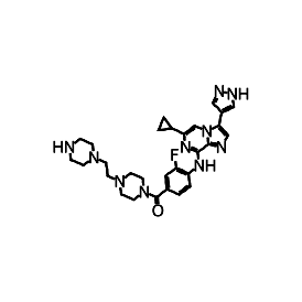 O=C(c1ccc(Nc2nc(C3CC3)cn3c(-c4cn[nH]c4)cnc23)c(F)c1)N1CCN(CCN2CCNCC2)CC1